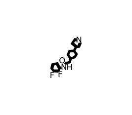 O=C(CC1CCC(c2ccncc2)CC1)Nc1cccc(F)c1F